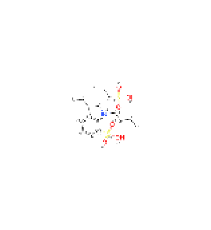 CCCCNCCCC.CCCS(=O)(=O)O.O=S(=O)(O)c1ccccc1